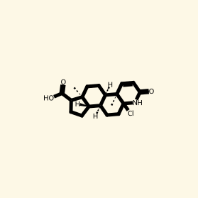 C[C@]12CC[C@@H]3[C@@H](CCC4(Cl)NC(=O)C=C[C@]34C)[C@@H]1CCC2C(=O)O